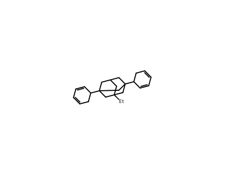 CCC12CC3CC(C4C=CC=CC4)(C1)CC(C1C=CC=CC1)(C3)C2